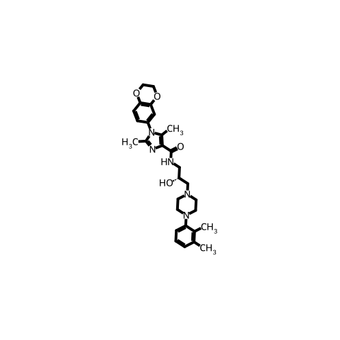 Cc1cccc(N2CCN(C[C@H](O)CNC(=O)c3nc(C)n(-c4ccc5c(c4)OCCO5)c3C)CC2)c1C